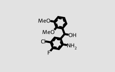 COc1cccc(C(O)c2cc(Cl)c(F)cc2N)c1OC